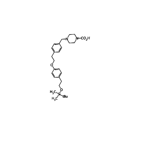 CC(C)(C)[Si](C)(C)OCCc1ccc(OCCc2ccc(CN3CCN(C(=O)O)CC3)cc2)cc1